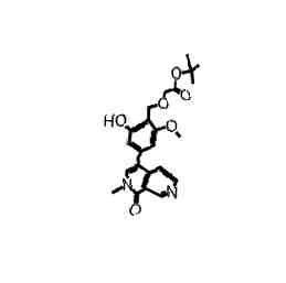 COc1cc(-c2cn(C)c(=O)c3cnccc23)cc(O)c1COCC(=O)OC(C)(C)C